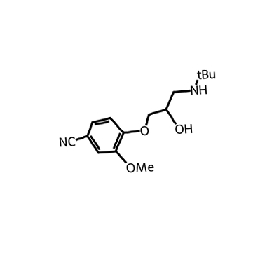 COc1cc(C#N)ccc1OCC(O)CNC(C)(C)C